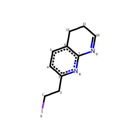 ICCc1ccc2c(n1)N=CCC2